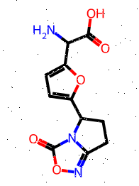 NC(C(=O)O)c1ccc(C2CCc3noc(=O)n32)o1